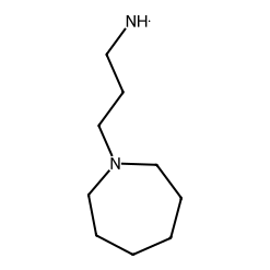 [NH]CCCN1CCCCCC1